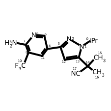 CC(C)n1nc(-c2cnc(N)c(C(F)(F)F)c2)cc1C(C)(C)C#N